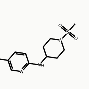 CS(=O)(=O)N1CCC(Nc2ccc(F)cn2)CC1